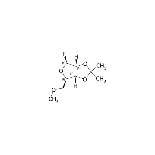 COC[C@H]1O[C@@H](F)[C@@H]2OC(C)(C)O[C@@H]21